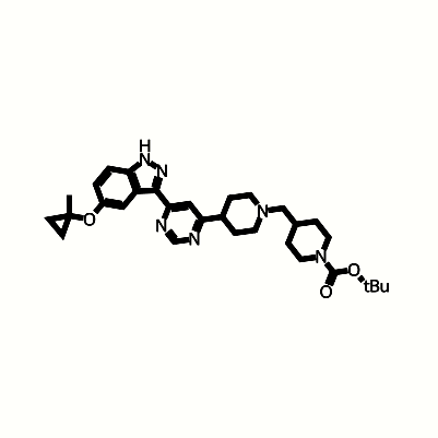 CC(C)(C)OC(=O)N1CCC(CN2CCC(c3cc(-c4n[nH]c5ccc(OC6(C)CC6)cc45)ncn3)CC2)CC1